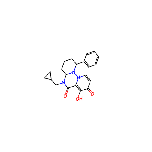 O=C1c2c(O)c(=O)ccn2N2C(c3ccccc3)CCCC2N1CC1CC1